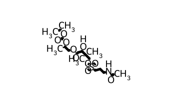 CC(=O)NCCCS(=O)(=O)OCC(C)(C)C(O)C(=O)OC[C@@H](C)OC(=O)OC(C)C